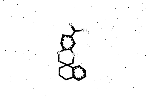 NC(=O)c1ccc2c(c1)NCC1(CCCc3ccccc31)CO2